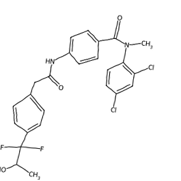 CC(O)C(F)(F)c1ccc(CC(=O)Nc2ccc(C(=O)N(C)c3ccc(Cl)cc3Cl)cc2)cc1